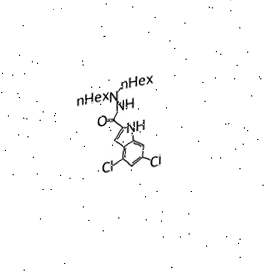 CCCCCCN(CCCCCC)NC(=O)c1cc2c(Cl)cc(Cl)cc2[nH]1